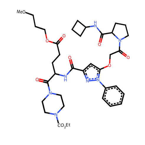 CCOC(=O)N1CCN(C(=O)C(CCC(=O)OCCCOC)NC(=O)c2cc(OCC(=O)N3CCCC3C(=O)NC3CCC3)n(-c3ccccc3)n2)CC1